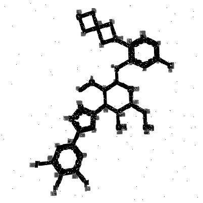 COC1C(Sc2cc(Cl)cnc2N2CC3(COC3)C2)OC(CO)C(O)C1n1cc(-c2cc(F)c(F)c(F)c2)nn1